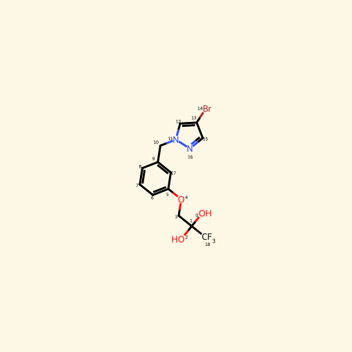 OC(O)(COc1cccc(Cn2cc(Br)cn2)c1)C(F)(F)F